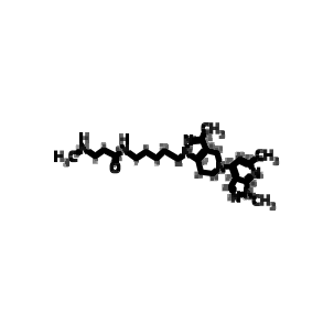 CNCCC(=O)NCCCCCn1nc(C)c2c1CCN(c1cc(C)nc3c1cnn3C)C2